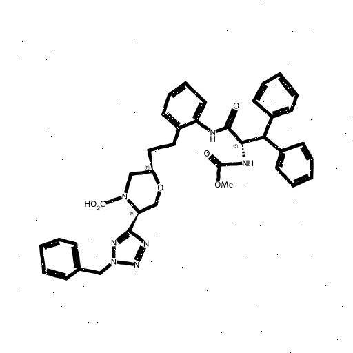 COC(=O)N[C@H](C(=O)Nc1ccccc1CC[C@@H]1CN(C(=O)O)[C@H](c2nnn(Cc3ccccc3)n2)CO1)C(c1ccccc1)c1ccccc1